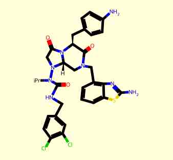 CC(C)N(C(=O)NCc1ccc(Cl)c(Cl)c1)N1CC(=O)N2[C@@H](Cc3ccc(N)cc3)C(=O)N(Cc3cccc4sc(N)nc34)C[C@@H]21